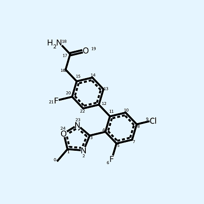 Cc1nc(-c2c(F)cc(Cl)cc2-c2ccc([CH]C(N)=O)c(F)c2)no1